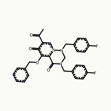 CC(=O)c1cn2c(c(OCc3ccccc3)c1=O)C(=O)N(Cc1ccc(F)cc1)CN2Cc1ccc(F)cc1